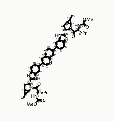 COC(=O)N[C@H](C(=O)N1C2C(C)C2C[C@H]1c1nc2ccc(-c3cnc4cc(-c5ccc6nc([C@@H]7CC8C(C)C8N7C(=O)[C@@H](NC(=O)OC)C(C)C)[nH]c6c5)cnc4c3)cc2[nH]1)C(C)C